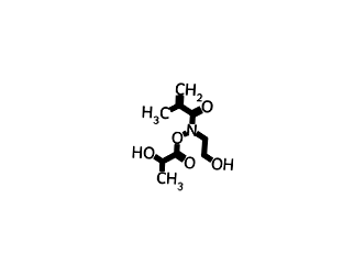 C=C(C)C(=O)N(CCO)OC(=O)C(C)O